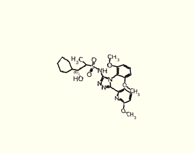 COc1cccc(-c2nnc(NS(=O)(=O)C(C)[C@H](O)C3CCCCC3)n2-c2c(OC)cccc2OC)n1